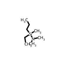 CCC[Si](C)(CC)N(C)C